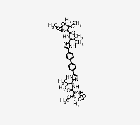 COC(=O)N[C@H](C(=O)N[C@@H](c1ncc(-c2ccc(-c3ccc(-c4cnc([C@H](NC(=O)[C@@H](NC5OCO5)[C@@H](C)OC)C(C)C)[nH]4)cc3)cc2)[nH]1)C(C)C)[C@@H](C)OC